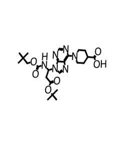 CC(C)(C)COC(=O)NC(CC(=O)OC(C)(C)C)n1cnc2c(N3CCC(C(=O)O)CC3)ncnc21